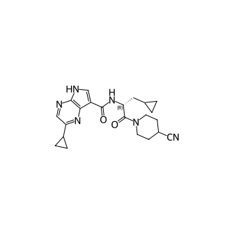 N#CC1CCN(C(=O)[C@@H](CC2CC2)NC(=O)c2c[nH]c3ncc(C4CC4)nc23)CC1